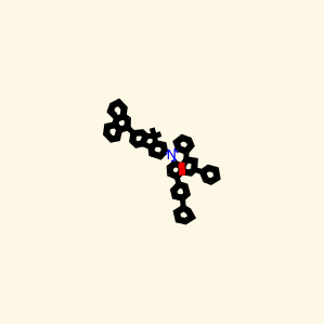 CC1(C)c2cc(-c3cc4ccccc4c4ccccc34)ccc2-c2ccc(N(c3ccc(-c4ccc(-c5ccccc5)cc4)cc3)c3ccccc3-c3cccc(-c4ccccc4)c3)cc21